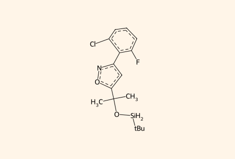 CC(C)(C)[SiH2]OC(C)(C)c1cc(-c2c(F)cccc2Cl)no1